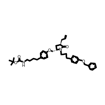 C=CC[C@@H]1C[C@@H](COc2ccc(CCCCNC(=O)OC(C)(C)C)cc2)N(CCCc2ccc(OCc3ccccc3)cc2)C1=O